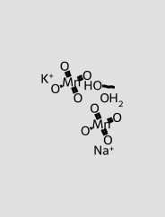 CO.O.[K+].[Na+].[O]=[Mn](=[O])(=[O])[O-].[O]=[Mn](=[O])(=[O])[O-]